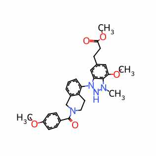 COC(=O)CCc1cc(OC)c2c(c1)N(c1cccc3c1CCN(C(=O)c1ccc(OC)cc1)C3)NN2C